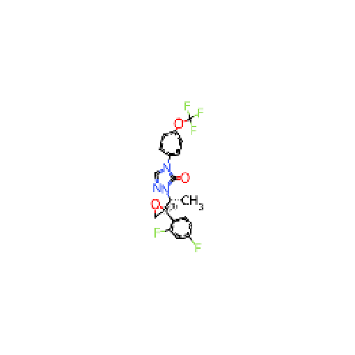 C[C@@H](n1ncn(-c2ccc(OC(F)(F)F)cc2)c1=O)[C@]1(c2ccc(F)cc2F)CO1